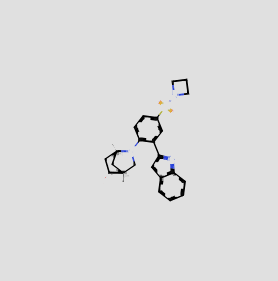 O=S(=O)(c1ccc(N2C[C@H]3C[C@@H]2C[C@@H]3O)c(-c2cc3ccccc3[nH]2)c1)N1CCC1